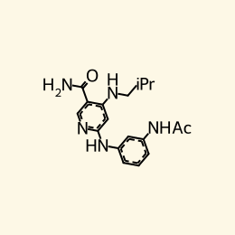 CC(=O)Nc1cccc(Nc2cc(NCC(C)C)c(C(N)=O)cn2)c1